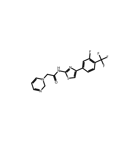 O=C(CN1C=CC=NC1)Nc1nc(-c2ccc(C(F)(F)F)c(F)c2)cs1